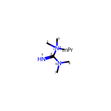 [CH2]CC[N+](C)(C)C(=N)N(C)C